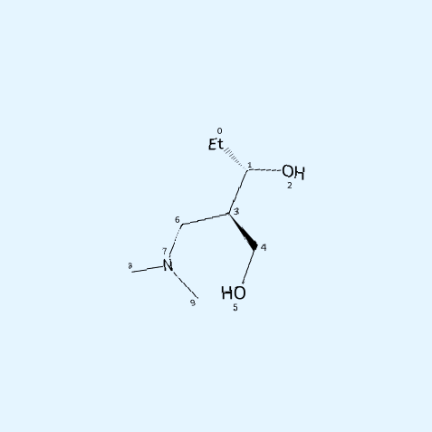 CC[C@H](O)[C@@H](CO)CN(C)C